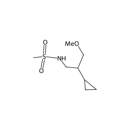 COCC(CNS(C)(=O)=O)C1CC1